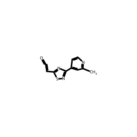 Cc1cc(-c2nsc(C=C=O)n2)ccn1